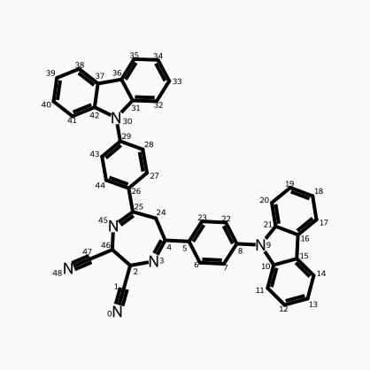 N#CC1N=C(c2ccc(-n3c4ccccc4c4ccccc43)cc2)CC(c2ccc(-n3c4ccccc4c4ccccc43)cc2)=NC1C#N